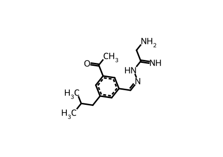 CC(=O)c1cc(/C=N\NC(=N)CN)cc(CC(C)C)c1